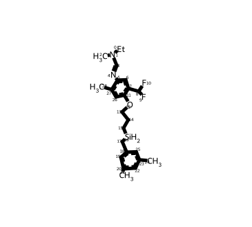 CCN(C)C=Nc1cc(C(F)F)c(OCCC[SiH2]Cc2cc(C)cc(C)c2)cc1C